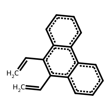 C=Cc1c(C=C)c2ccccc2c2ccccc12